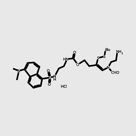 CCC(C)SSC(=CN(C=O)CCN)CCOC(=O)NCCNS(=O)(=O)c1cccc2c(N(C)C)cccc12.Cl